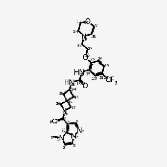 Cn1ccn2ncc(C(=O)N3CC4(CC(NC(=O)Nc5cc(C(F)(F)F)ccc5OCCN5CCOCC5)C4)C3)c12